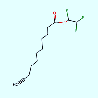 C#CCCCCCCCCC(=O)OC(F)C(F)F